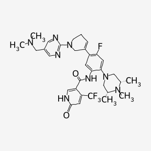 C[C@@H]1CN(c2cc(F)c(C3=CCCN(c4ncc(CN(C)C)cn4)C3)cc2NC(=O)c2c[nH]c(=O)cc2C(F)(F)F)C[C@H](C)N1C